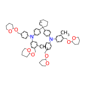 Cc1cc(N(c2ccc(COC3CCCCO3)cc2)c2ccc(C3(c4ccc(N(c5ccc(COC6CCCCO6)cc5)c5ccc(COC6CCCCO6)c(C)c5)cc4)CCCCC3)cc2)ccc1COC1CCCCO1